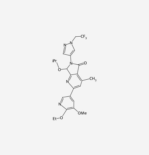 CCOc1ncc(-c2cc(C)c3c(n2)C(OC(C)C)N(c2cnn(CC(F)(F)F)c2)C3=O)cc1OC